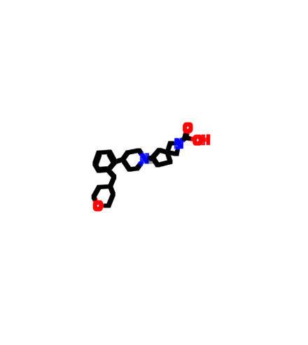 O=C(O)N1CC2(CC[C@@H](N3CCC(c4ccccc4CC4CCOCC4)CC3)C2)C1